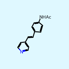 CC(=O)Nc1ccc(/C=C/c2ccncc2)cc1